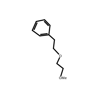 COCCOCCc1ccccc1